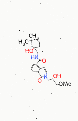 COCC(O)Cn1ccc2c(C(=O)NCC3(O)CCCC(C)(C)C3)cccc2c1=O